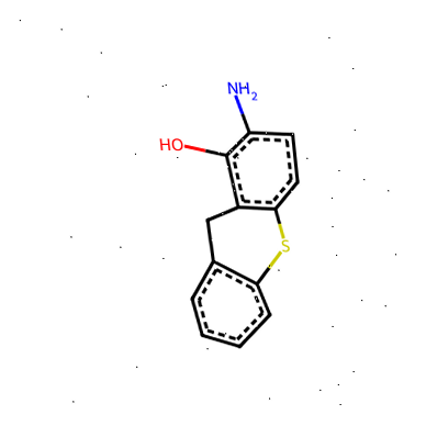 Nc1ccc2c(c1O)Cc1ccccc1S2